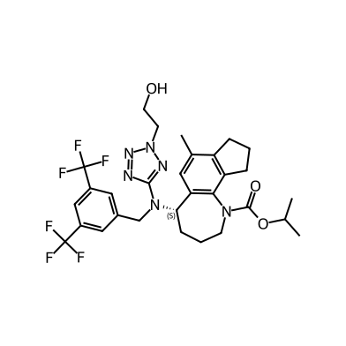 Cc1cc2c(c3c1CCC3)N(C(=O)OC(C)C)CCC[C@@H]2N(Cc1cc(C(F)(F)F)cc(C(F)(F)F)c1)c1nnn(CCO)n1